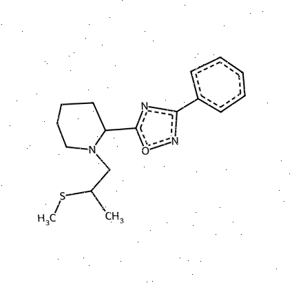 CSC(C)CN1CCCCC1c1nc(-c2ccccc2)no1